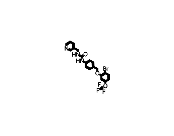 O=C(NCc1cccnc1)Nc1ccc(COc2cc(OC(F)(F)F)ccc2Br)cc1